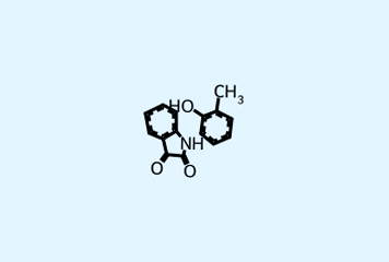 Cc1ccccc1O.O=C1Nc2ccccc2C1=O